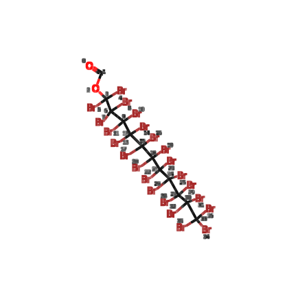 O=[C]OC(Br)(Br)C(Br)(Br)C(Br)(Br)C(Br)(Br)C(Br)(Br)C(Br)(Br)C(Br)(Br)C(Br)(Br)C(Br)(Br)C(Br)(Br)C(Br)(Br)Br